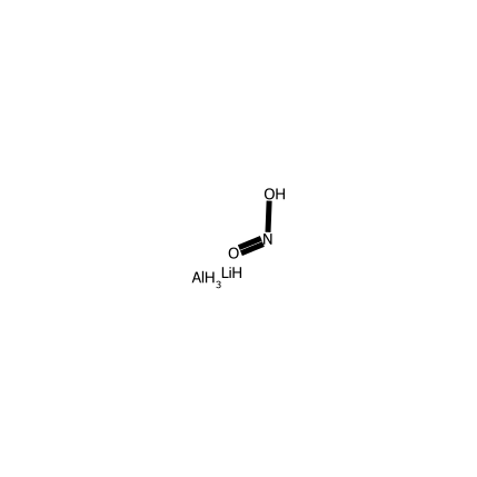 O=NO.[AlH3].[LiH]